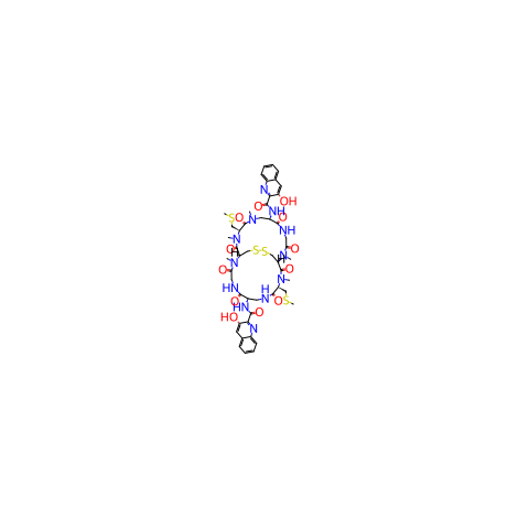 CSC[C@H]1C(=O)NC[C@@H](NC(=O)c2nc3ccccc3cc2O)C(=O)NCC(=O)N(C)[C@H]2CSSC[C@@H](C(=O)N1C)N(C)C(=O)CNC(=O)[C@H](NC(=O)c1nc3ccccc3cc1O)CN(C)C(=O)[C@H](CSC)N(C)C2=O